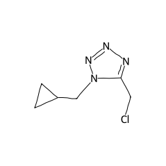 ClCc1nnnn1CC1CC1